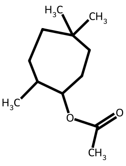 CC(=O)OC1CCC(C)(C)CCC1C